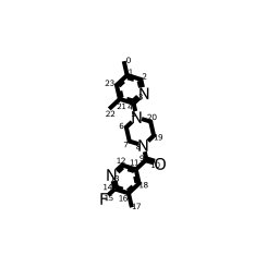 Cc1cnc(N2CCN(C(=O)c3cnc(F)c(C)c3)CC2)c(C)c1